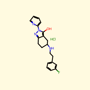 Cl.Oc1c2c(nn1-c1ccccn1)CCC(NCCc1cccc(F)c1)C2